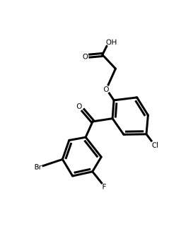 O=C(O)COc1ccc(Cl)cc1C(=O)c1cc(F)cc(Br)c1